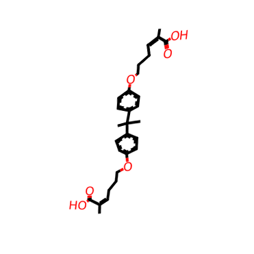 CC(=CCCCOc1ccc(C(C)(C)c2ccc(OCCCC=C(C)C(=O)O)cc2)cc1)C(=O)O